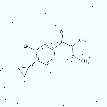 CON(C)C(=O)c1ccc(C2CC2)c(Cl)c1